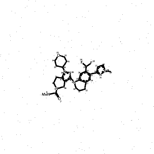 CNC(=O)N1CCc2c(c(N3CCCc4cc(-c5ccn(C)n5)c(C(F)F)cc43)nn2C2CCOCC2)C1